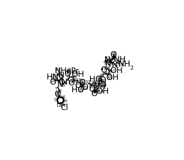 CCCO[C@H]1C(N2CN(CCOc3ccc(Cl)cc3)c3c2nc(N)[nH]c3=O)O[C@H](COP(=O)(O)OCC(COP(=O)(O)OC[C@H]2O[C@@H](n3cnc4c(=O)[nH]c(N)nc43)[C@H](O)[C@@H]2O)OP(=O)(O)O)[C@H]1O